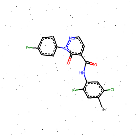 CC(C)c1cc(F)c(NC(=O)c2ccnn(-c3ccc(F)cc3)c2=O)cc1Cl